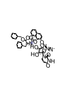 [N-]=[N+]=N[C@]1(COc2ccc3ccccc3c2O/[P+]([O-])=N/[C@@H](Cc2ccccc2)C(=O)OCc2ccccc2)O[C@@H](n2ccc(=O)[nH]c2=O)[C@H](O)[C@@H]1O